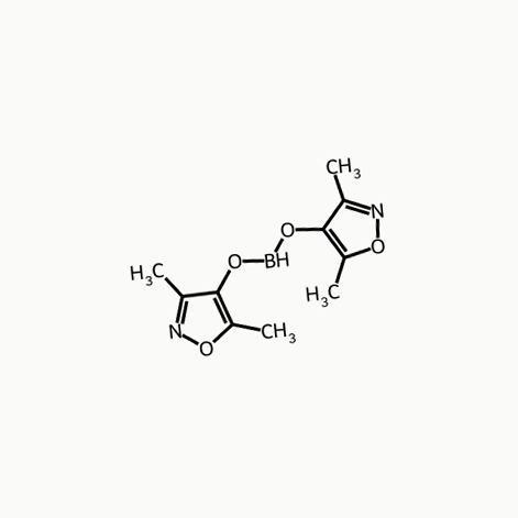 Cc1noc(C)c1OBOc1c(C)noc1C